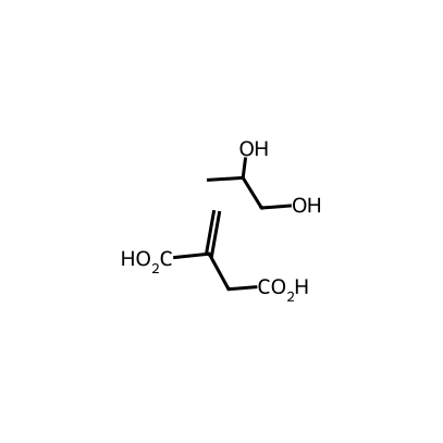 C=C(CC(=O)O)C(=O)O.CC(O)CO